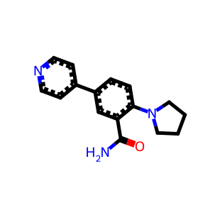 NC(=O)c1cc(-c2ccncc2)ccc1N1CCCC1